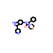 O=C(Nc1ccc2[nH]nc(-c3ccncc3)c2c1)[N+]1(Cc2ccccc2)CCSCC1